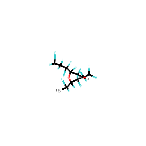 CC(F)(F)C(F)(OC(F)(C(C)(F)F)C(F)(F)C(F)(F)C(F)F)C(F)(F)C(F)(F)C(F)F